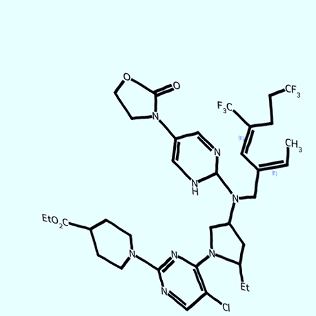 C/C=C(\C=C(/CCC(F)(F)F)C(F)(F)F)CN(C1CC(CC)N(c2nc(N3CCC(C(=O)OCC)CC3)ncc2Cl)C1)C1N=CC(N2CCOC2=O)=CN1